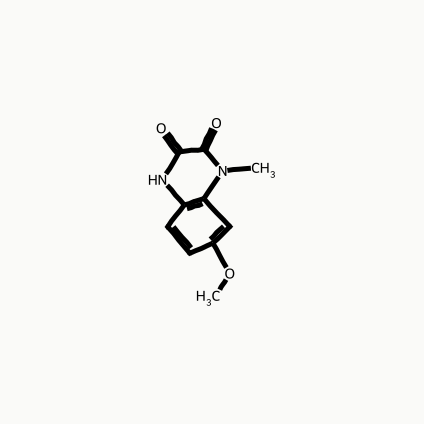 COc1ccc2[nH]c(=O)c(=O)n(C)c2c1